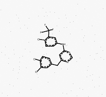 FC(F)(F)c1cc(Nc2cc(Cc3ccc(Cl)c(Cl)c3)ncn2)ccc1Cl